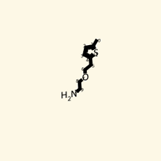 Cc1ccc(CCOCCN)s1